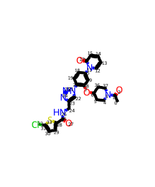 CC(=O)N1CCC(Oc2cc(-n3ccccc3=O)ccc2-n2cc(CNC(=O)c3ccc(Cl)s3)nn2)CC1